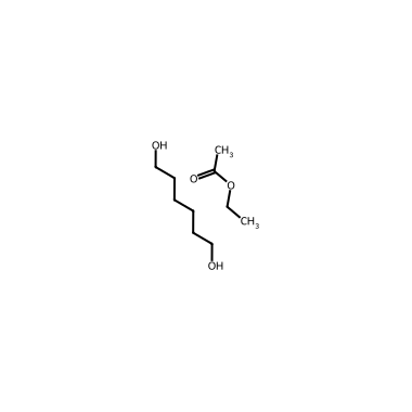 CCOC(C)=O.OCCCCCCO